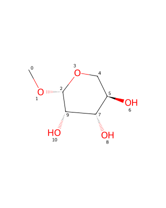 CO[C@@H]1OC[C@@H](O)[C@H](O)[C@@H]1O